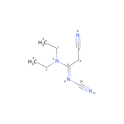 CCN(CC)/C(CC#N)=N/C#N